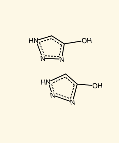 Oc1c[nH]nn1.Oc1c[nH]nn1